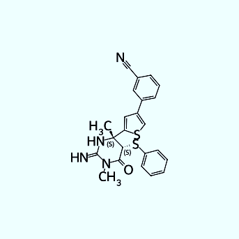 CN1C(=N)N[C@](C)(c2cc(-c3cccc(C#N)c3)cs2)[C@H](Sc2ccccc2)C1=O